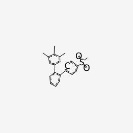 Cc1cc(-c2ccccc2-c2ccc(S(C)(=O)=O)cc2)cc(C)c1C